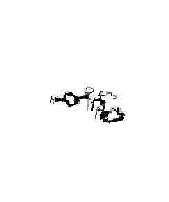 C[C@H](CNc1ccccn1)NC(=O)c1ccc(C#N)cc1